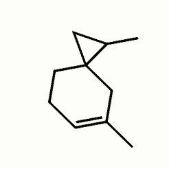 CC1=CCCC2(C1)CC2C